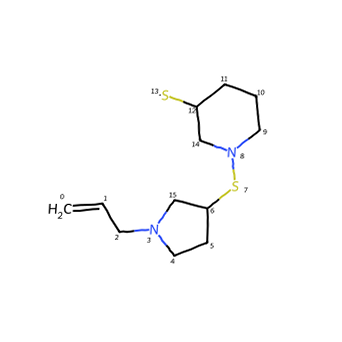 C=CCN1CCC(SN2CCCC([S])C2)C1